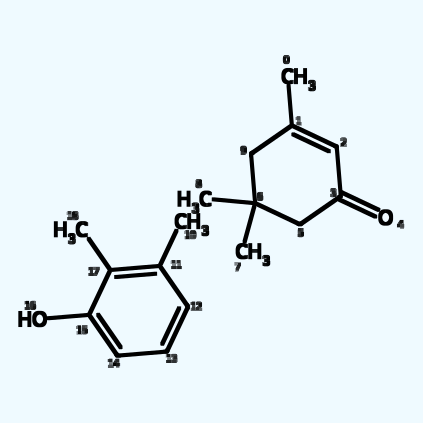 CC1=CC(=O)CC(C)(C)C1.Cc1cccc(O)c1C